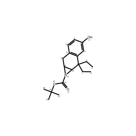 CCC1(CC)c2cc(O)ccc2CC2C1N2C(=O)OC(C)(C)C